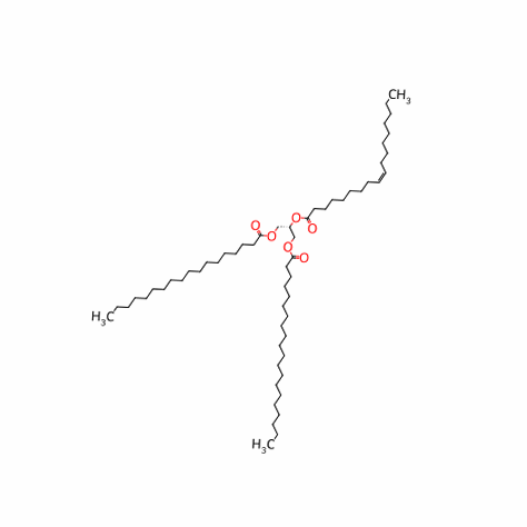 CCCCCCCC/C=C\CCCCCCCC(=O)O[C@@H](COC(=O)CCCCCCCCCCCCCCCCC)COC(=O)CCCCCCCCCCCCCCCCCCC